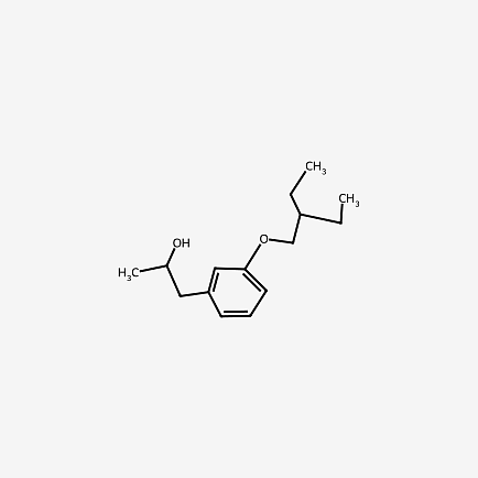 CCC(CC)COc1cccc(CC(C)O)c1